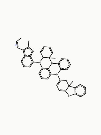 C/C=C\c1c(C)oc2c(N3c4cccc5c4B(c4ccccc4N5C4=CC=C5Oc6ccccc6C5(C)C4)C4(C)C=CC=CC34)cccc12